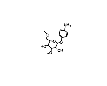 COC[C@H]1O[C@@H](Oc2ccc(N)cc2)[C@H](O)[C@@H](OC)[C@H]1O